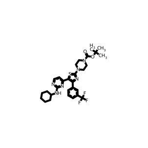 CC(C)(C)OC(=O)N1CCN(c2nc(-c3cccc(C(F)(F)F)c3)c(-c3ccnc(NC4CCCCC4)n3)s2)CC1